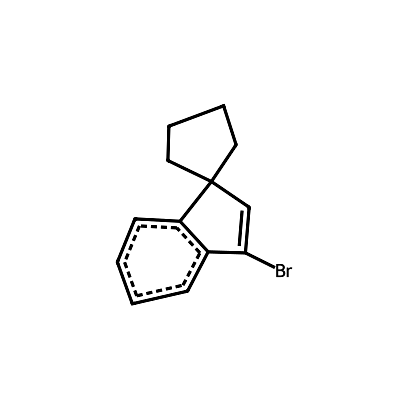 BrC1=CC2(CCCC2)c2ccccc21